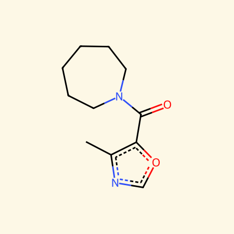 Cc1ncoc1C(=O)N1CCCCCC1